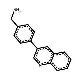 NCc1ccc(-c2cnc3ccccc3c2)cc1